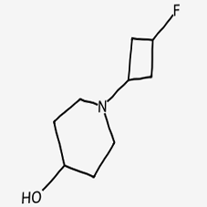 OC1CCN(C2CC(F)C2)CC1